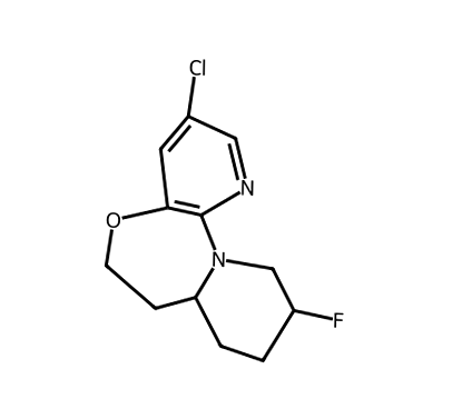 FC1CCC2CCOc3cc(Cl)cnc3N2C1